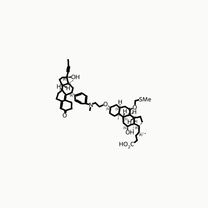 CC#C[C@@]1(O)CC[C@H]2[C@@H]3CCC4=CC(=O)CCC4=C3[C@@H](c3ccc(N(C)CCO[C@H]4CC[C@@]5(C)[C@@H](C4)C[C@@H](OCSC)[C@@H]4[C@@H]5C[C@H](O)[C@]5(C)[C@@H]([C@H](C)CCC(=O)O)CC[C@@H]45)cc3)C[C@@]21C